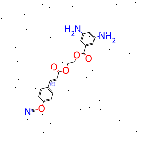 N#COc1ccc(/C=C/C(=O)OCCOC(=O)c2cc(N)cc(N)c2)cc1